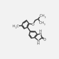 Cc1ccc(OCC(C)C)c(-c2ccc3[nH]c(=O)[nH]c3c2)c1